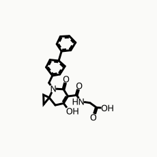 O=C(O)CNC(=O)C1=C(O)CC2(CC2)N(Cc2ccc(-c3ccccc3)cc2)C1=O